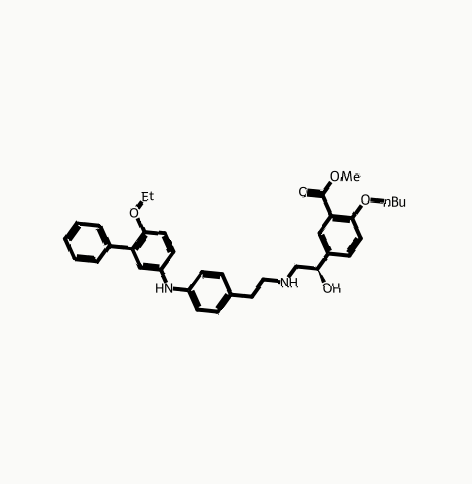 CCCCOc1ccc([C@@H](O)CNCCc2ccc(Nc3ccc(OCC)c(-c4ccccc4)c3)cc2)cc1C(=O)OC